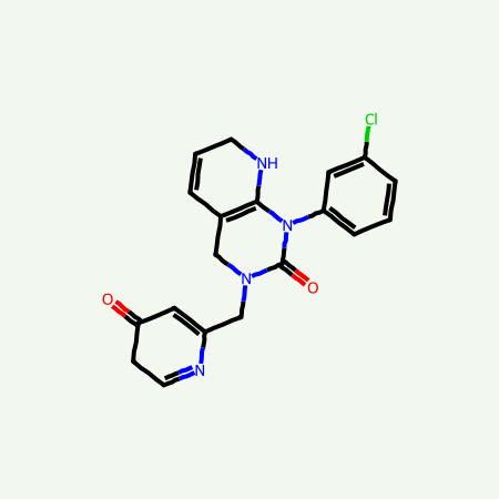 O=C1C=C(CN2CC3=C(NCC=C3)N(c3cccc(Cl)c3)C2=O)N=CC1